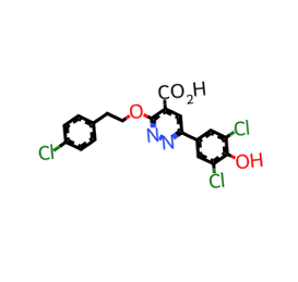 O=C(O)c1cc(-c2cc(Cl)c(O)c(Cl)c2)nnc1OCCc1ccc(Cl)cc1